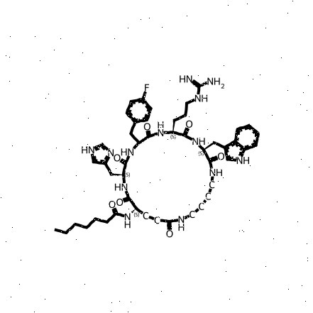 CCCCCCC(=O)N[C@H]1CCC(=O)NCCCCNC(=O)[C@H](Cc2c[nH]c3ccccc23)NC(=O)[C@H](CCCNC(=N)N)NC(=O)C(Cc2ccc(F)cc2)NC(=O)[C@H](Cc2c[nH]cn2)NC1=O